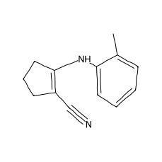 Cc1ccccc1NC1=C(C#N)CCC1